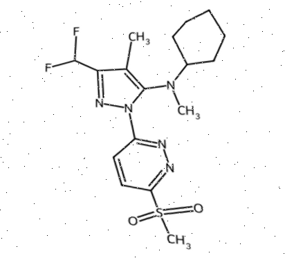 Cc1c(C(F)F)nn(-c2ccc(S(C)(=O)=O)nn2)c1N(C)C1CCCCC1